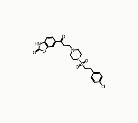 O=C(CCN1CCN(S(=O)(=O)CCc2ccc(Cl)cc2)CC1)c1ccc2[nH]c(=O)oc2c1